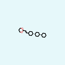 C(=CC1OCCCO1)C1CCC([C@H]2CC[C@H](C3CCCCC3)CC2)CC1